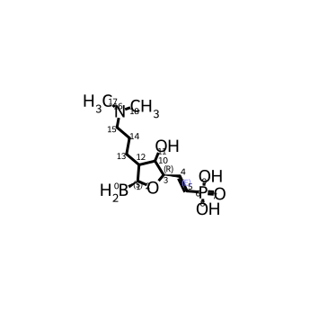 B[C@@H]1O[C@H](/C=C/P(=O)(O)O)C(O)C1CCCN(C)C